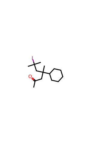 CC(=O)CC(C)(CC(C)(C)I)C1CCCCC1